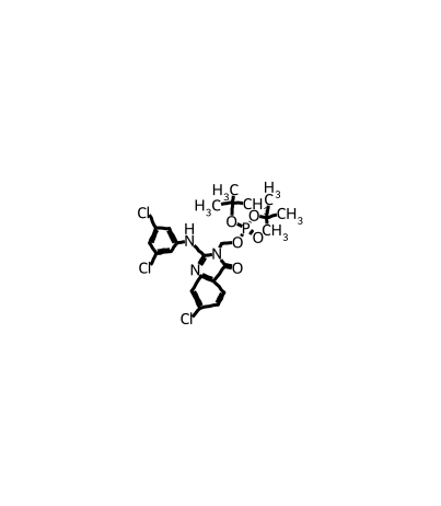 CC(C)(C)OP(=O)(OCn1c(Nc2cc(Cl)cc(Cl)c2)nc2cc(Cl)ccc2c1=O)OC(C)(C)C